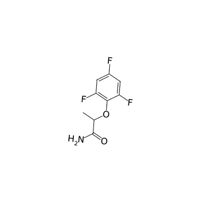 CC(Oc1c(F)cc(F)cc1F)C(N)=O